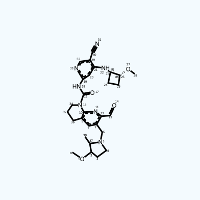 COC1CCN(Cc2cc3c(nc2C=O)N(C(=O)Nc2cc(N[C@@H]4CC[C@H]4OC)c(C#N)cn2)CCC3)C1C